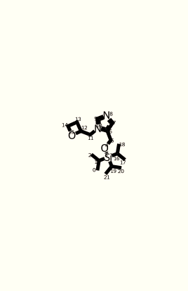 CC(C)[Si](OCc1cncn1CC1CCO1)(C(C)C)C(C)C